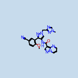 COc1ccc(C#N)cc1-c1nn(Cc2ncn(C)n2)cc1NC(=O)c1cnn2cccnc12